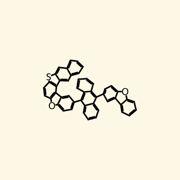 c1ccc2cc3c(cc2c1)sc1ccc2oc4ccc(-c5c6ccccc6c(-c6ccc7oc8ccccc8c7c6)c6ccccc56)cc4c2c13